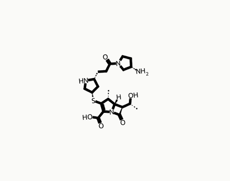 C[C@@H](O)[C@H]1C(=O)N2C(C(=O)O)=C(S[C@@H]3CN[C@H](CCC(=O)N4CC[C@H](N)C4)C3)[C@H](C)[C@H]12